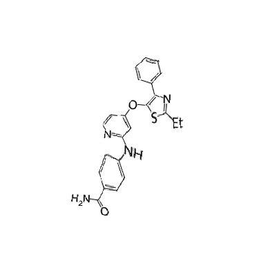 CCc1nc(-c2ccccc2)c(Oc2ccnc(Nc3ccc(C(N)=O)cc3)c2)s1